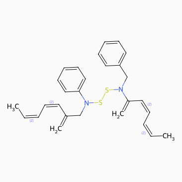 C=C(/C=C\C=C/C)CN(SSN(Cc1ccccc1)C(=C)/C=C\C=C/C)c1ccccc1